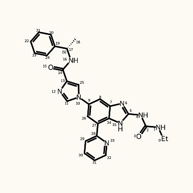 CCNC(=O)Nc1nc2cc(-n3cnc(C(=O)N[C@@H](C)c4ccccc4)c3)cc(-c3ccccn3)c2[nH]1